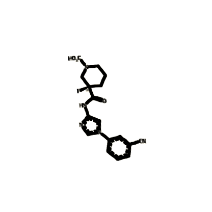 N#Cc1cccc(-n2cnc(NC(=O)[C@@]3(F)CCCN(C(=O)O)C3)c2)c1